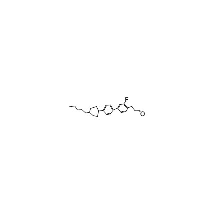 CCCCCC1CCC(c2ccc(-c3ccc(CCC=O)c(F)c3)cc2)CC1